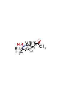 CC(=O)c1ccc(C(C)(C)N(O)C(C)(C)C)cc1